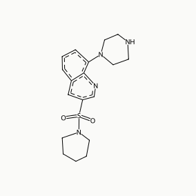 O=S(=O)(c1cnc2c(N3CCNCC3)cccc2c1)N1CCCCC1